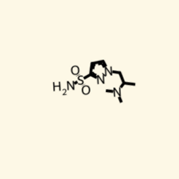 CC(Cn1ccc(S(N)(=O)=O)n1)N(C)C